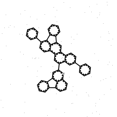 c1ccc(-c2ccc3c(c2)c(-c2cc4c5c(cccc5n2)-c2ccccc2-4)cc2c4ccc(-c5ccccc5)c5c4c(cc32)-c2ccccc2-5)cc1